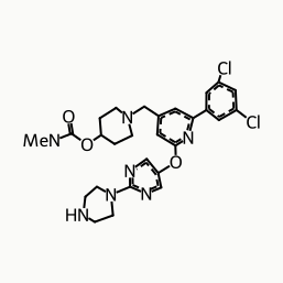 CNC(=O)OC1CCN(Cc2cc(Oc3cnc(N4CCNCC4)nc3)nc(-c3cc(Cl)cc(Cl)c3)c2)CC1